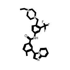 CCN1CCN(Cc2ccc(NC(=O)c3ccc(C)c(-c4cnc5ccccn45)c3)cc2C(F)(F)F)CC1